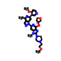 COCCN1CCN(c2nc3c(O[C@H]4CCOC4)nc(-n4ncc5c(C)nc(-c6cnccc6OC)cc54)cc3n2C)CC1